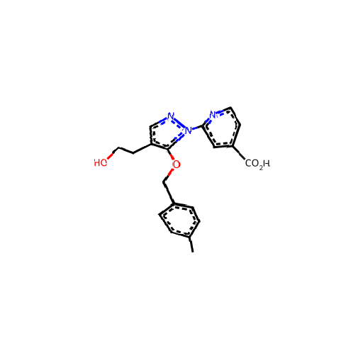 Cc1ccc(COc2c(CCO)cnn2-c2cc(C(=O)O)ccn2)cc1